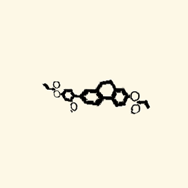 C=CC(=O)Oc1ccc2c(c1)CCc1cc(-c3ccc(OC(=O)C=C)cc3OC)ccc1-2